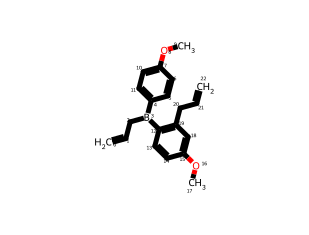 C=CCB(c1ccc(OC)cc1)c1ccc(OC)cc1CC=C